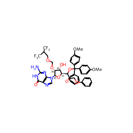 COc1ccc(C(OC(C(=O)COc2ccccc2)[C@H]2O[C@@H](n3cnc4c(=O)[nH]c(N)nc43)[C@H](OCOCC(C(F)(F)F)C(F)(F)F)[C@@H]2O)(c2ccccc2)c2ccc(OC)cc2)cc1